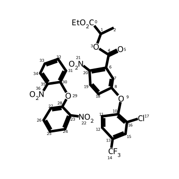 CCOC(=O)C(C)OC(=O)c1cc(Oc2ccc(C(F)(F)F)cc2Cl)ccc1[N+](=O)[O-].O=[N+]([O-])c1ccccc1Oc1ccccc1[N+](=O)[O-]